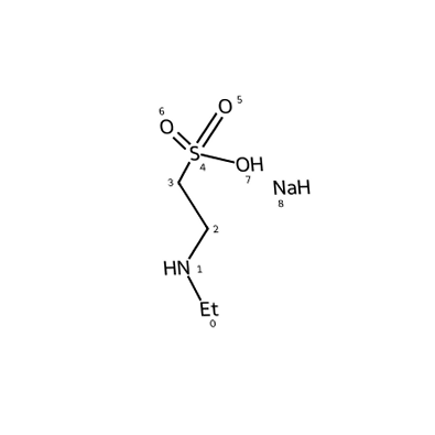 CCNCCS(=O)(=O)O.[NaH]